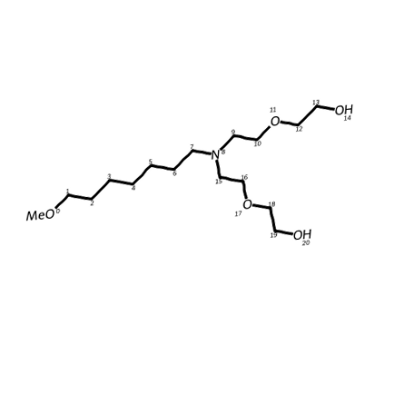 COCCCCCCCN(CCOCCO)CCOCCO